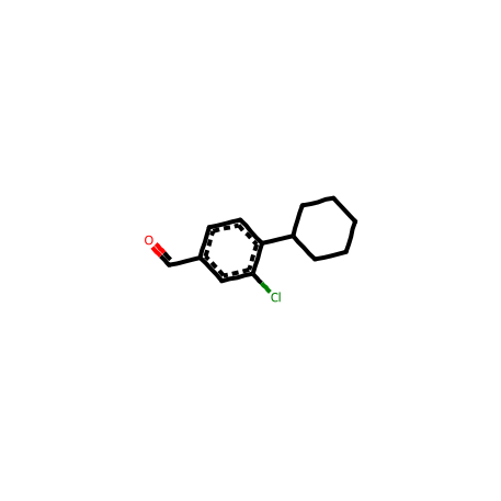 O=Cc1ccc(C2CCCCC2)c(Cl)c1